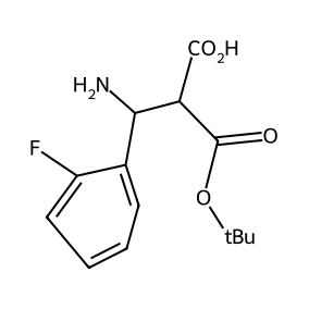 CC(C)(C)OC(=O)C(C(=O)O)C(N)c1ccccc1F